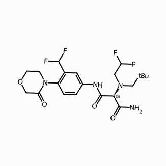 CC(C)(C)CN(CC(F)F)[C@@H](C(N)=O)C(=O)Nc1ccc(N2CCOCC2=O)c(C(F)F)c1